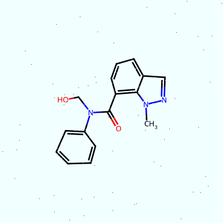 Cn1ncc2cccc(C(=O)N(CO)c3ccccc3)c21